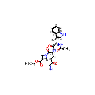 CCOC(=O)C1CN(C(=O)[C@H](CCC(=O)C=N)NC(=O)[C@H](Cc2c[nH]c3ccccc23)NC(C)=O)C1